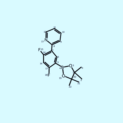 CC1(C)OB(c2cc(-c3ccccn3)c(F)cc2F)OC1(C)C